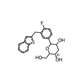 OCC1OC(c2ccc(F)c(Cc3cc4ccccc4s3)c2)C(O)C[C@H]1O